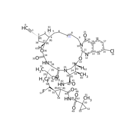 C#C[C@@H]1C[C@H]2CC/C=C/Cn3c(nc4cc(Cl)ccc4c3=O)O[C@H]3CN(C(=O)[C@H](C(C)(C)C)NC(=O)O[C@@H]2C1)[C@H](C(=O)N[C@]1(C(=O)NS(=O)(=O)C2(C)CC2)C[C@H]1C(F)F)[C@@H]3C